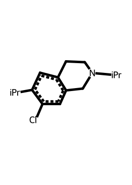 CC(C)c1cc2c(cc1Cl)CN(C(C)C)CC2